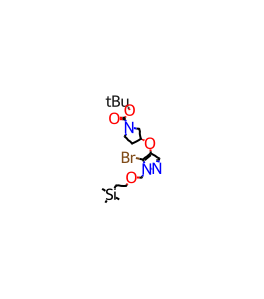 CC(C)(C)OC(=O)N1CC[C@H](Oc2cnn(COCC[Si](C)(C)C)c2Br)C1